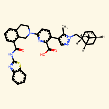 Cc1c(-c2ccc(N3CCc4cccc(C(=O)Nc5nc6ccccc6s5)c4C3)nc2C(=O)O)cnn1C[C@@H]1CC[C@@H]2C[C@H]1C2(C)C